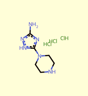 Cl.Cl.Cl.Nc1n[nH]c(N2CCNCC2)n1